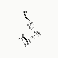 C.C.C.C.C.C.C.C.N=C=O.N=C=O.N=C=O